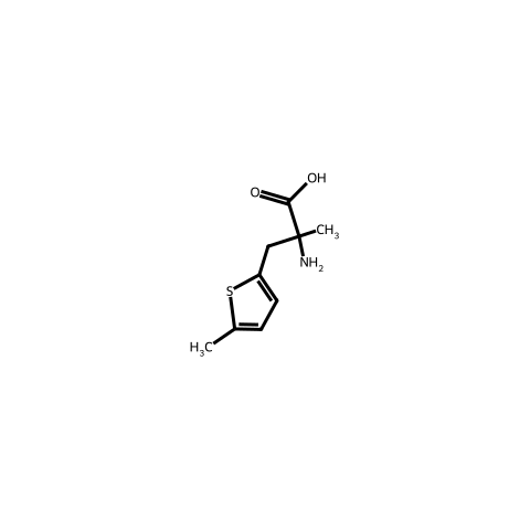 Cc1ccc(CC(C)(N)C(=O)O)s1